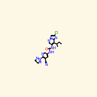 CCC(C)c1c(NC(=O)Nc2cnc(-n3nccn3)c(C#N)c2)cnn2cc(Cl)nc12